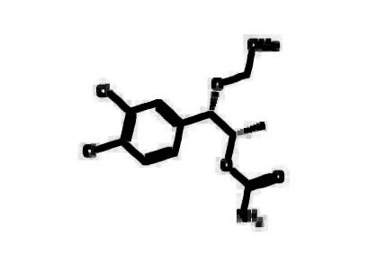 COCO[C@@H](c1ccc(Cl)c(Cl)c1)[C@H](C)OC(N)=O